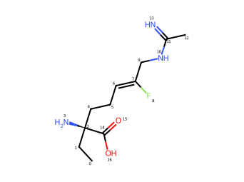 CC[C@](N)(CC/C=C(\F)CNC(C)=N)C(=O)O